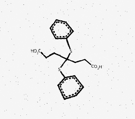 O=C(O)CCC(CCC(=O)O)(Sc1ccccc1)Sc1ccccc1